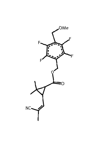 COCc1c(F)c(F)c(COC(=O)C2C(/C=C(/C)C#N)C2(C)C)c(F)c1F